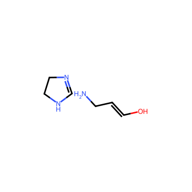 C1=NCCN1.NCC=CO